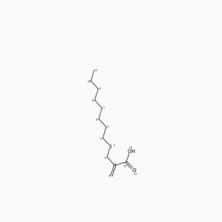 C=C(CSCCCCCCCC)C(=O)O